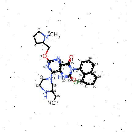 CN1CCCC1COc1nc(N2CCNC(CC#N)C2)c2[nH]c(=O)n(-c3cccc4cccc(Cl)c34)c(=O)c2n1